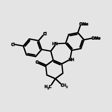 COc1cc2c(cc1OC)NC(c1ccc(Cl)cc1Cl)C1=C(CC(C)(C)CC1=O)N2